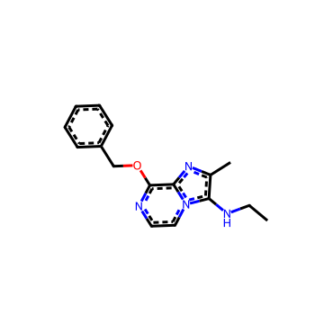 CCNc1c(C)nc2c(OCc3ccccc3)nccn12